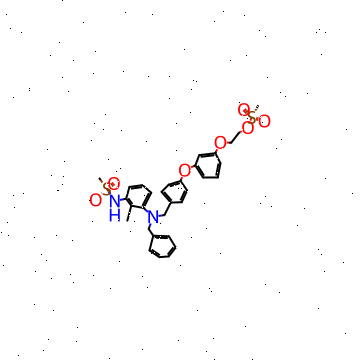 Cc1c(NS(C)(=O)=O)cccc1N(Cc1ccccc1)Cc1ccc(Oc2cccc(OCCOS(C)(=O)=O)c2)cc1